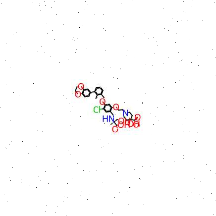 COC(=O)C1(O)CCN(CCOc2cc(OCc3cccc(-c4ccc5c(c4)OCCO5)c3C)c(Cl)cc2CN[C@](C)(CO)C(=O)O)CC1